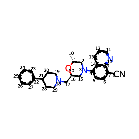 C[C@@H]1CN(c2ccc(C#N)c3ncccc23)C[C@@H](CN2CCC(c3ccccc3)CC2)O1